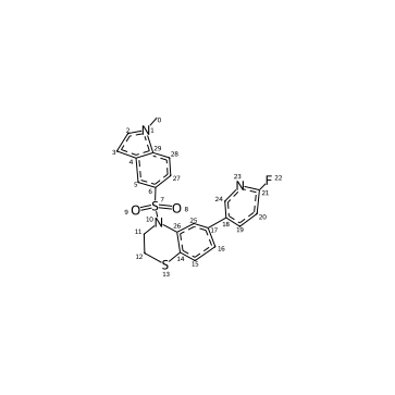 Cn1ccc2cc(S(=O)(=O)N3CCSc4ccc(-c5ccc(F)nc5)cc43)ccc21